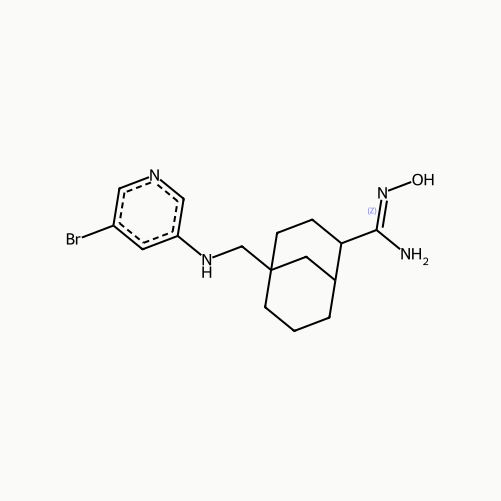 N/C(=N\O)C1CCC2(CNc3cncc(Br)c3)CCCC1C2